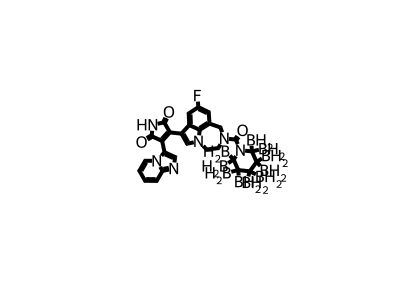 BC1(B)N(C(=O)N2CCn3cc(C4=C(c5cnc6ccccn56)C(=O)NC4=O)c4cc(F)cc(c43)C2)C(B)(B)C(B)(B)C(B)(B)C1(B)B